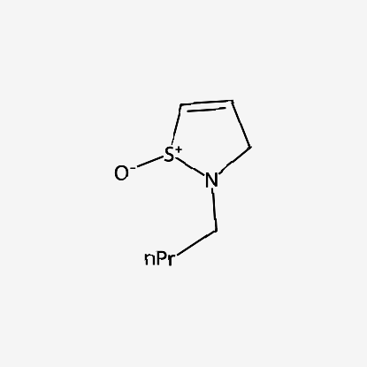 CCCCN1CC=C[S+]1[O-]